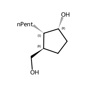 CCCCC[C@H]1[C@H](CO)CC[C@H]1O